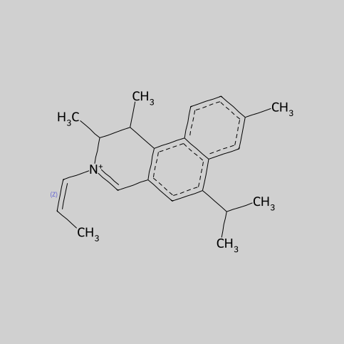 C/C=C\[N+]1=Cc2cc(C(C)C)c3cc(C)ccc3c2C(C)C1C